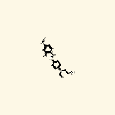 CCN(CCO)c1ccc(/N=N/c2ccc(N=O)cc2Cl)cc1